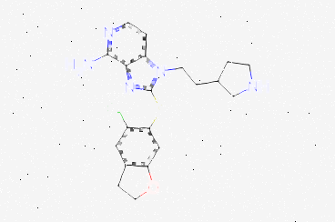 Nc1nccc2c1nc(Sc1cc3c(cc1Cl)CCO3)n2CCC1CCNC1